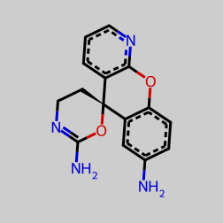 NC1=NCC[C@]2(O1)c1cc(N)ccc1Oc1ncccc12